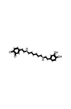 Oc1ccc(CCNCCCCCCNCCc2ccc(Cl)c(Cl)c2)cc1O